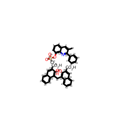 Cc1cc2cccc(OS(=O)(=O)C(F)(F)F)c2nc1-c1ccccc1.O=C(O)c1cc2ccccc2c(Cc2c(O)c(C(=O)O)cc3ccccc23)c1O